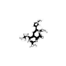 Cc1nc(NC(C)(F)F)c2cc(C3=CCN(C(C)C)C3)n(C)c(=O)c2n1